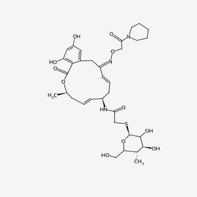 C[C@@H]1C/C=C/[C@H](NC(=O)CS[C@@H]2OC(CO)[C@@H](C)[C@H](O)C2O)C/C=C/C(=N/OCC(=O)N2CCCCC2)Cc2cc(O)cc(O)c2C(=O)O1